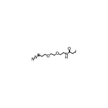 [N-]=[N+]=NCCOCCOCCNC(=O)CI